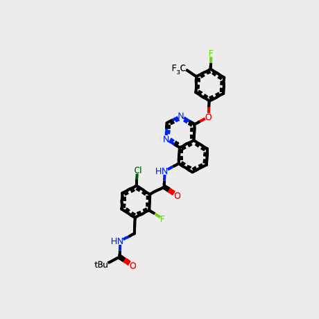 CC(C)(C)C(=O)NCc1ccc(Cl)c(C(=O)Nc2cccc3c(Oc4ccc(F)c(C(F)(F)F)c4)ncnc23)c1F